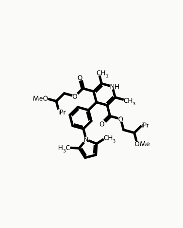 COC(COC(=O)C1=C(C)NC(C)=C(C(=O)OCC(OC)C(C)C)C1c1cccc(-n2c(C)ccc2C)c1)C(C)C